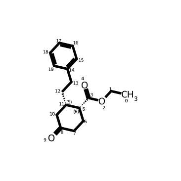 CCOC(=O)[C@@H]1CCC(=O)C[C@@H]1CCc1ccccc1